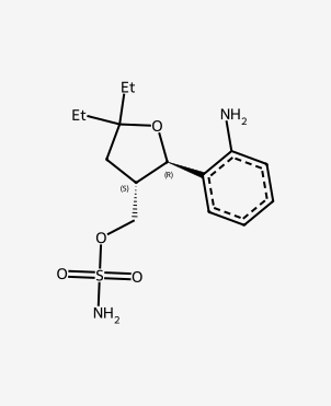 CCC1(CC)C[C@@H](COS(N)(=O)=O)[C@H](c2ccccc2N)O1